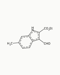 CCOC(=O)c1[nH]c2cc(C)ccc2c1C=O